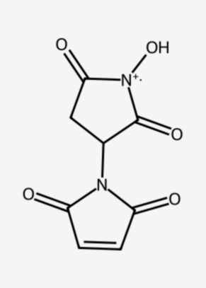 O=C1C=CC(=O)N1C1CC(=O)[N+](O)C1=O